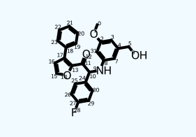 COc1cc(CO)cc(NC(C(=O)c2occc2-c2ccccc2)c2ccc(F)cc2)c1